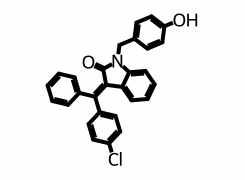 O=C1/C(=C(\c2ccccc2)c2ccc(Cl)cc2)c2ccccc2N1Cc1ccc(O)cc1